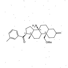 C=C1CC[C@@]2(COC)C(CC[C@]3(N)C2CC[C@@]2(C)C3CC[C@@H]2C(=O)c2cccc(C)c2)C1